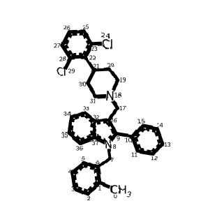 Cc1ccccc1Cn1c(-c2ccccc2)c(CN2CCC(c3c(Cl)cccc3Cl)CC2)c2ccccc21